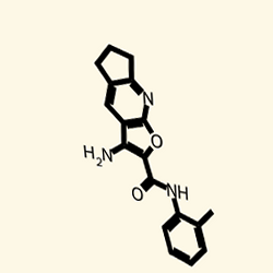 Cc1ccccc1NC(=O)c1oc2nc3c(cc2c1N)CCC3